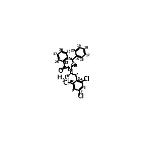 C[C@H](Cc1c(Cl)cc(Cl)cc1Cl)N(OCc1ccccc1)C(=O)c1ccccc1